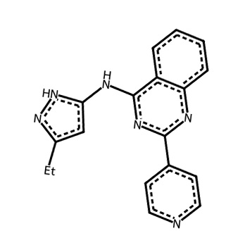 CCc1cc(Nc2nc(-c3ccncc3)nc3ccccc23)[nH]n1